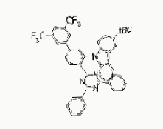 CC(C)(C)c1ccc2c(c1)c1ccccc1n2-c1cc(-c2cc(C(F)(F)F)cc(C(F)(F)F)c2)ccc1-c1nc(-c2ccccc2)nc(-c2ccccc2)n1